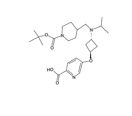 CC(C)N(CC1CCN(C(=O)OC(C)(C)C)CC1)[C@H]1C[C@H](Oc2ccc(C(=O)O)nc2)C1